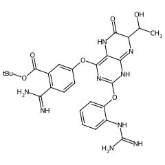 CC(O)C1N=C2NC(Oc3ccccc3NC(=N)N)=NC(Oc3ccc(C(=N)N)c(C(=O)OC(C)(C)C)c3)=C2NC1=O